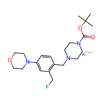 C[C@@H]1CN(Cc2ccc(N3CCOCC3)cc2CF)CCN1C(=O)OC(C)(C)C